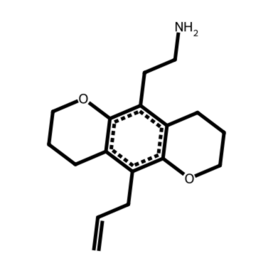 C=CCc1c2c(c(CCN)c3c1OCCC3)OCCC2